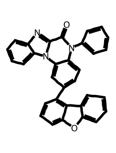 O=c1c2nc3ccccc3n2c2cc(-c3cccc4oc5ccccc5c34)ccc2n1-c1ccccc1